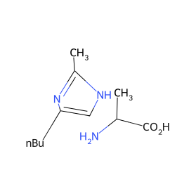 CC(N)C(=O)O.CCCCc1c[nH]c(C)n1